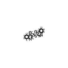 [O-][n+]1c(SSc2cnc3ccccc3[n+]2[O-])cnc2ccccc21